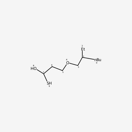 CCCCC(CC)COCCC(O)S